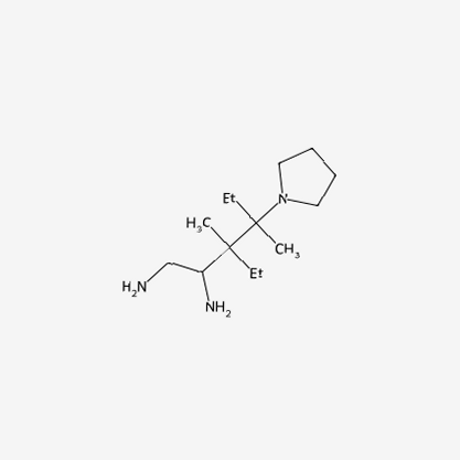 CCC(C)(C(N)CN)C(C)(CC)N1CCCC1